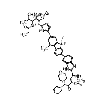 C=C(C(NC(=O)CC)C(C)C)N(Cc1ncc(C2=CC3=C(c4ccc(-c5ccc6nc([C@H](/C=C(\C)C(=O)C(C7=CC=CCC7)N7CCOCC7)NC)[nH]c6c5)cc4C3(F)F)C(C)C2)[nH]1)CC1(C)CC1